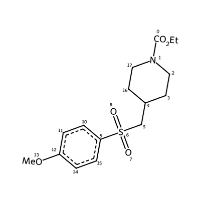 CCOC(=O)N1CCC(CS(=O)(=O)c2ccc(OC)cc2)CC1